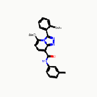 COc1ccccc1-c1nnc2c(C(=O)Nc3cccc(C)c3)ccc(OC)n12